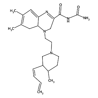 C=C/C=C\C1CN(CCN2CC(C(=O)NC(N)=O)=NC3=CC(C)=C(C)CC32)CCC1C